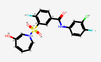 O=C(Nc1ccc(F)c(Cl)c1)c1ccc(F)c(S(=O)(=O)N2C=CC=CC(O)=C2)c1